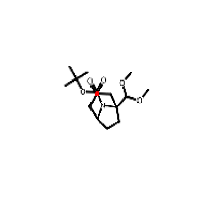 COC(OC)C12CCC(CC(=O)C1)N2C(=O)OC(C)(C)C